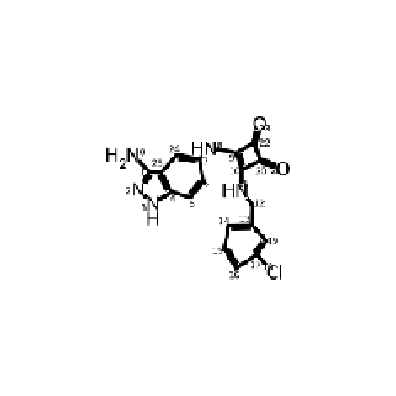 Nc1n[nH]c2ccc(Nc3c(NCc4cccc(Cl)c4)c(=O)c3=O)cc12